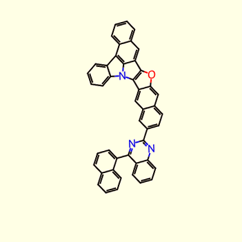 c1ccc2c(-c3nc(-c4ccc5cc6oc7c8cc9ccccc9c9c%10ccccc%10n(c7c6cc5c4)c89)nc4ccccc34)cccc2c1